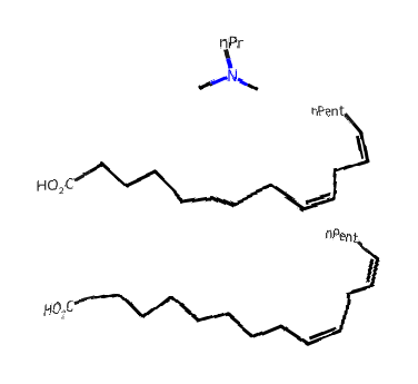 CCCCC/C=C\C/C=C\CCCCCCCC(=O)O.CCCCC/C=C\C/C=C\CCCCCCCC(=O)O.CCCN(C)C